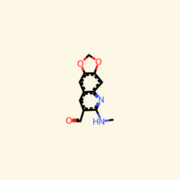 CNc1nc2cc3c(cc2cc1C=O)OCO3